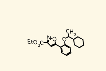 CCOC(=O)c1cc(-c2ccccc2OC(C)C2CCCCC2)on1